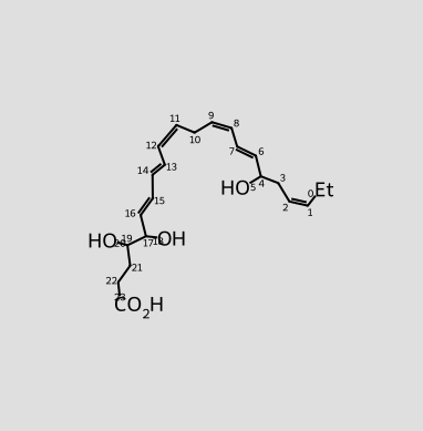 CC/C=C\CC(O)/C=C/C=C\C\C=C/C=C/C=C/C(O)C(O)CCC(=O)O